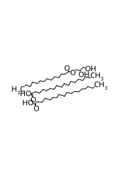 CCCCCCCCCCCCCC(=O)OCC(O)CO.CCCCCCCCCCCCCCCCCC(=O)O.CCCCCCCCCCCCCCCCCC(=O)O